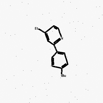 CCc1ccnc(-c2ccc(C(C)(C)C)cc2)c1